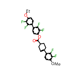 CCOc1ccc(-c2ccc(OC(=O)C3CC=C(c4ccc(OC)c(F)c4F)CC3)c(F)c2F)c(F)c1F